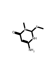 CSC1NC(N)=CC(=O)N1C